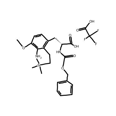 COc1ccc(C[C@@H](NC(=O)OCc2ccccc2)C(=O)O)c(CC[Si](C)(C)C)c1N.O=C(O)C(F)(F)F